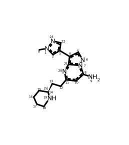 Cn1cc(-c2cnn3c(N)cc(CC[C@@H]4CCCCN4)nc23)cn1